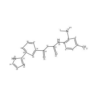 CN(C)c1cc(C(F)(F)F)[c]cc1NC(=O)CC(=O)c1cccc(-c2ncc[nH]2)c1